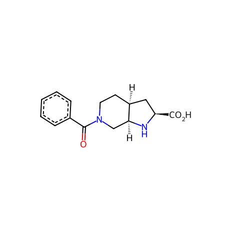 O=C(O)[C@@H]1C[C@@H]2CCN(C(=O)c3ccccc3)C[C@@H]2N1